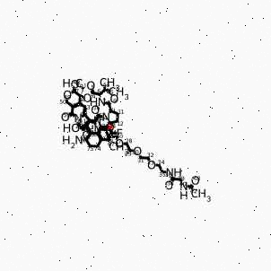 CC[C@@]1(OC(=O)[C@@H](NC(=O)C2CCCN2C(=O)[C@H](CC(=O)O)NC(=O)CCOCCOCCOCCNC(=O)CNC(C)=O)C(C)C)C(=O)OCc2c1cc1n(c2=O)Cc2c-1nc1cc(F)c(C)c3c1c2[C@@H](N)CC3